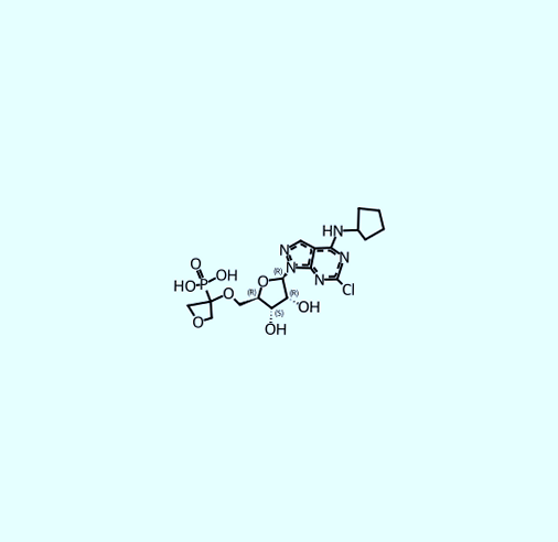 O=P(O)(O)C1(OC[C@H]2O[C@@H](n3ncc4c(NC5CCCC5)nc(Cl)nc43)[C@H](O)[C@@H]2O)COC1